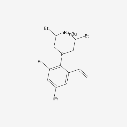 C=Cc1cc(C(C)C)cc(CC)c1P(CC(CC)CCCC)CC(CC)CCCC